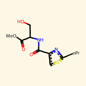 CCCc1nc(C(=O)NC(CO)C(=O)OC)cs1